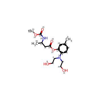 Cc1ccc(N(CCO)CCO)c(OC(=O)CC(C)NC(=O)OC(C)(C)C)c1